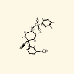 N#CC1(c2cccc(Cl)c2)CCC(NS(=O)(=O)c2ccccc2)CC1